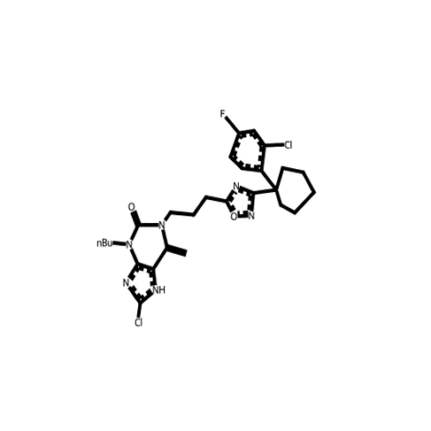 C=C1c2[nH]c(Cl)nc2N(CCCC)C(=O)N1CCCc1nc(C2(c3ccc(F)cc3Cl)CCCCC2)no1